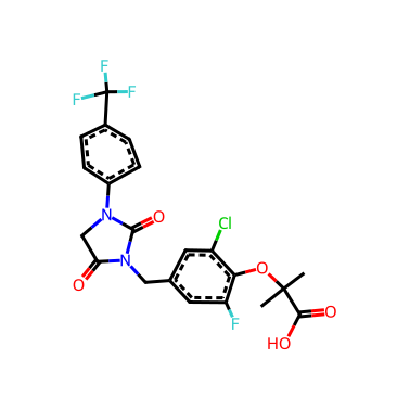 CC(C)(Oc1c(F)cc(CN2C(=O)CN(c3ccc(C(F)(F)F)cc3)C2=O)cc1Cl)C(=O)O